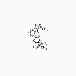 CC(C)C1=Cc2c(cccc2-c2ccc([Si](C)(C)C)cc2)[CH]1